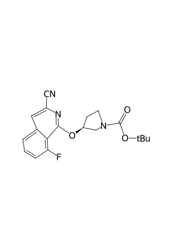 CC(C)(C)OC(=O)N1CC[C@H](Oc2nc(C#N)cc3cccc(F)c23)C1